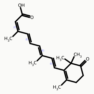 CC1=C(/C=C/C(C)=C/C=C/C(C)=C\C(=O)O)C(C)(C)C(=O)CC1